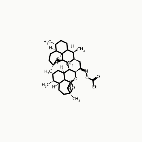 CCC(=O)O/N=C(/C[C@H]1O[C@@H]2C[C@]3(C)CC[C@H]4[C@H](C)CC[C@@H]([C@H]1C)[C@@]24OO3)[C@H]1O[C@@H]2C[C@]3(C)CC[C@H]4[C@H](C)CC[C@@H]([C@H]1C)[C@@]24OO3